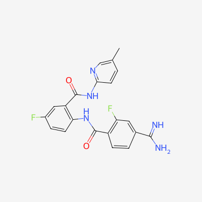 Cc1ccc(NC(=O)c2cc(F)ccc2NC(=O)c2ccc(C(=N)N)cc2F)nc1